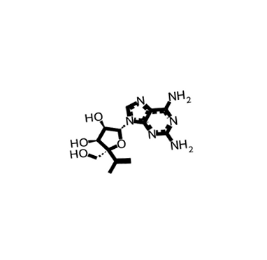 C=C(C)[C@]1(CO)O[C@@H](n2cnc3c(N)nc(N)nc32)[C@H](O)[C@@H]1O